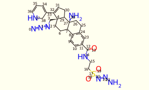 [N-]=[N+]=NC[C@]12CCC3c4ccc(C(=O)NCCS(=O)(=O)N=NN)cc4CC[C@@]3(N)C1CC=C2C1=CC=CNC1